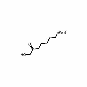 CCCCCCCCCCC(=O)CO